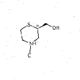 [CH2-][NH+]1CCS[C@@H](CO)C1